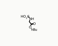 CCCCOC(=O)CNC(=O)O